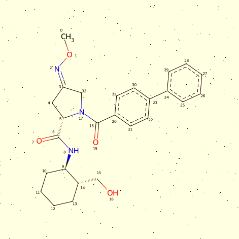 CON=C1C[C@@H](C(=O)N[C@@H]2CCCC[C@H]2CO)N(C(=O)c2ccc(-c3ccccc3)cc2)C1